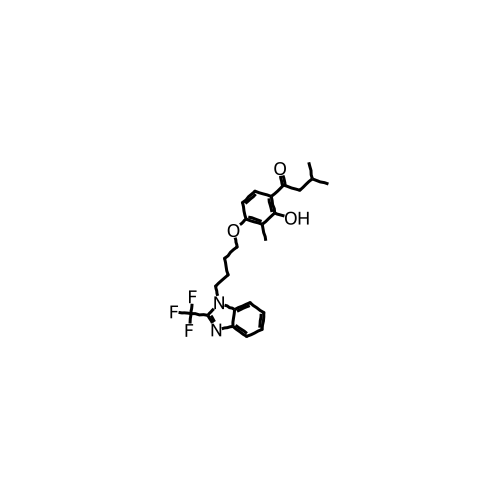 Cc1c(OCCCCn2c(C(F)(F)F)nc3ccccc32)ccc(C(=O)CC(C)C)c1O